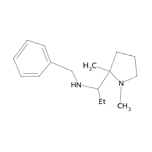 CCC(NCc1ccccc1)C1(C)CCCN1C